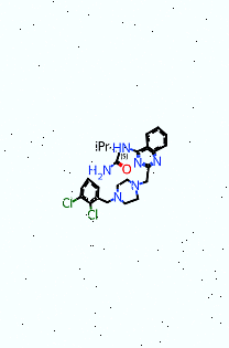 CC(C)[C@H](Nc1nc(CN2CCN(Cc3cccc(Cl)c3Cl)CC2)nc2ccccc12)C(N)=O